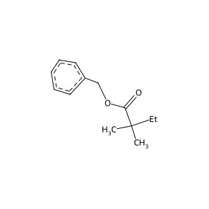 CCC(C)(C)C(=O)OCc1ccccc1